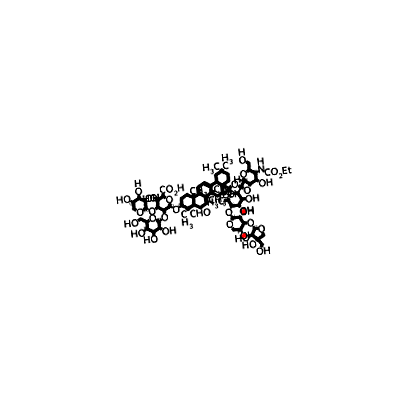 CCOC(=O)N[C@H]1C(CO)O[C@@H]2C(OC2(OC(=O)[C@]23CCC(C)(C)CC2C2=CCC4C5(C)CC[C@H](O[C@@H]6OC(C(=O)O)[C@@H](O)C(O[C@@H]7OC[C@@H](O)C(O)C7O)C6O[C@@H]6OC(CO)[C@H](O)C(O)C6O)C(C)(C=O)C5CCC4(C)C2(C)CC3O)[C@@H]2OC(C)[C@H](O[C@@H]3OC[C@@H](O)C(O[C@@H]4OCC(O)(CO)C4O)C3O)C(O)C2O)C1O